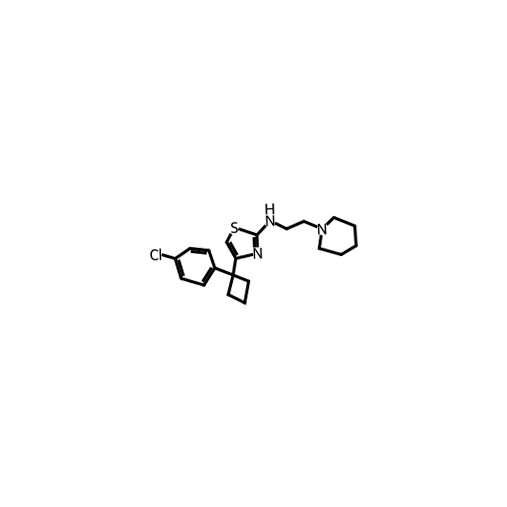 Clc1ccc(C2(c3csc(NCCN4CCCCC4)n3)CCC2)cc1